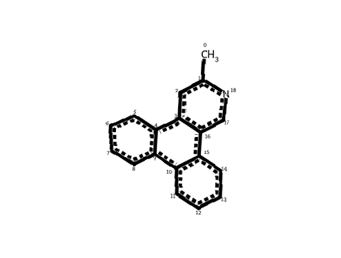 Cc1cc2c3ccccc3c3ccccc3c2cn1